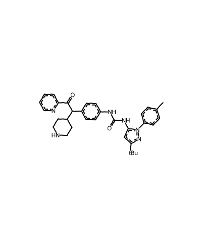 Cc1ccc(-n2nc(C(C)(C)C)cc2NC(=O)Nc2ccc(C(C(=O)c3ccccn3)C3CCNCC3)cc2)cc1